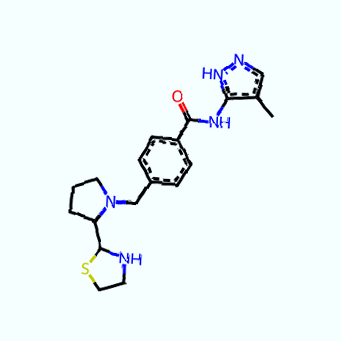 Cc1cn[nH]c1NC(=O)c1ccc(CN2CCCC2C2NCCS2)cc1